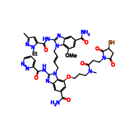 CCn1nc(C)cc1C(=O)Nc1nc2cc(C(N)=O)cc(OC)c2n1C/C=C/Cn1c(NC(=O)c2cccnn2)nc2cc(C(N)=O)cc(OCCCN(C)C(=O)CCN3C(=O)CC(S)C3=O)c21